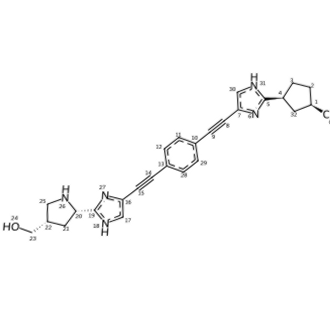 C[C@@H]1CC[C@H](c2nc(C#Cc3ccc(C#Cc4c[nH]c([C@@H]5C[C@H](CO)CN5)n4)cc3)c[nH]2)C1